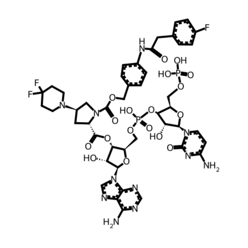 Nc1ccn([C@@H]2O[C@H](COP(=O)(O)O)[C@@H](OP(=O)(O)OC[C@H]3O[C@@H](n4cnc5c(N)ncnc54)[C@H](O)[C@@H]3OC(=O)[C@@H]3C[C@@H](N4CCC(F)(F)CC4)CN3C(=O)OCc3ccc(NC(=O)Cc4ccc(F)cc4)cc3)[C@H]2O)c(=O)n1